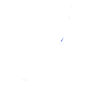 CC(C)N1C[C@H](NC(=O)c2ccc3c(c2)OCC(=O)N3)[C@@H](C)C1